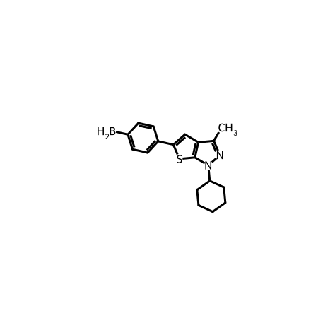 Bc1ccc(-c2cc3c(C)nn(C4CCCCC4)c3s2)cc1